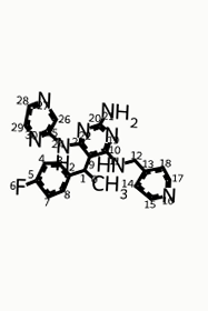 CC(c1ccc(F)cc1)c1c(NCc2ccncc2)nc(N)nc1Nc1cnccn1